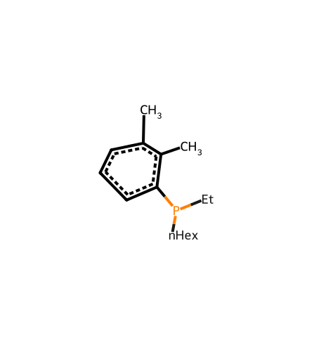 CCCCCCP(CC)c1cccc(C)c1C